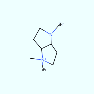 CC(C)N1CCC2C1CC[N+]2(C)C(C)C